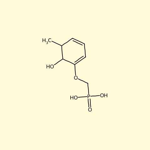 CC1C=CC=C(OCP(=O)(O)O)C1O